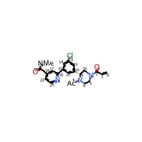 C=CC(=O)N1CCN(C(C)=O)[C@H](c2cc(Cl)cc(-c3cc(C(=O)NC)ccn3)c2)C1